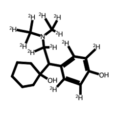 [2H]c1c([2H])c(C(C2(O)CCCCC2)C([2H])([2H])N(C([2H])([2H])[2H])C([2H])([2H])[2H])c([2H])c([2H])c1O